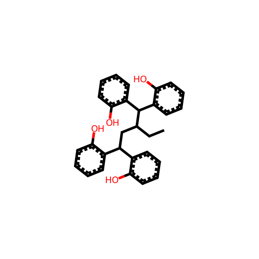 CCC(CC(c1ccccc1O)c1ccccc1O)C(c1ccccc1O)c1ccccc1O